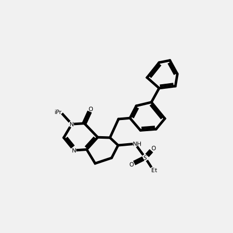 CCS(=O)(=O)NC1CCc2ncn(C(C)C)c(=O)c2C1Cc1cccc(-c2ccccc2)c1